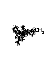 COc1cccc(C(=O)NC(C(=O)NC(Cc2ccccc2)C(=O)C(=O)NC2CC2)C2CC2)c1